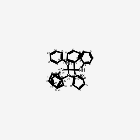 CCCCCCC(Nc1ccccc1)(c1ccccc1)C(Nc1ccccc1)(Nc1ccccc1)N(c1ccccc1)c1ccccc1